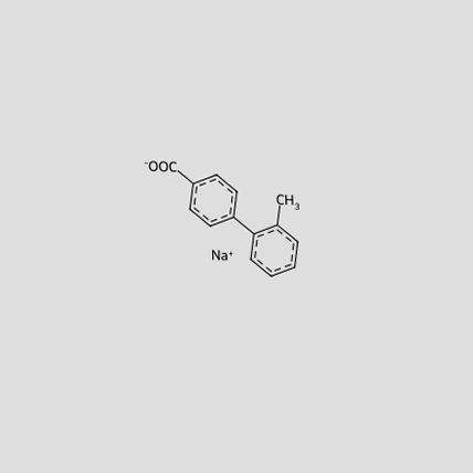 Cc1ccccc1-c1ccc(C(=O)[O-])cc1.[Na+]